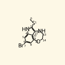 CSc1[nH]c2cc(Br)cc3c2c1NCCO3